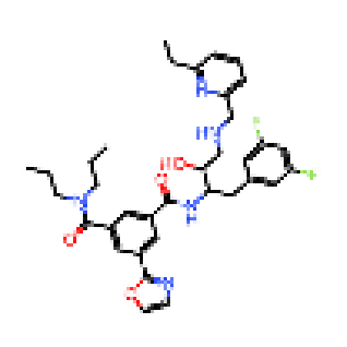 CCCN(CCC)C(=O)c1cc(C(=O)NC(Cc2cc(F)cc(F)c2)C(O)CNCc2cccc(CC)n2)cc(-c2ncco2)c1